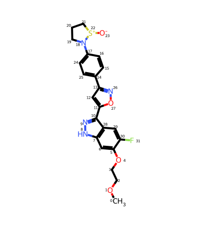 COCCOc1cc2[nH]nc(-c3cc(-c4ccc(N5CCC[S+]5[O-])cc4)no3)c2cc1F